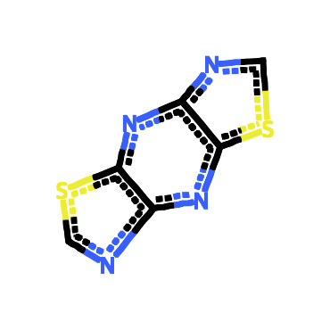 c1nc2nc3scnc3nc2s1